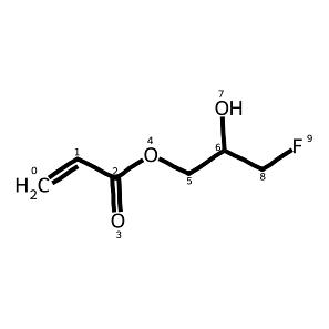 C=CC(=O)OCC(O)CF